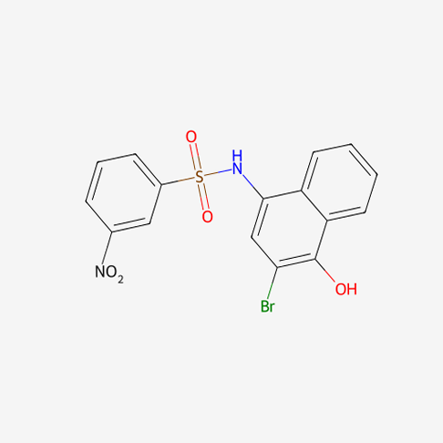 O=[N+]([O-])c1cccc(S(=O)(=O)Nc2cc(Br)c(O)c3ccccc23)c1